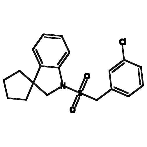 O=S(=O)(Cc1cccc(Cl)c1)N1CC2(CCCC2)c2ccccc21